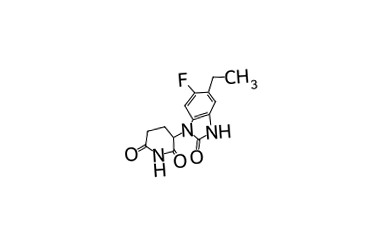 CCc1cc2[nH]c(=O)n(C3CCC(=O)NC3=O)c2cc1F